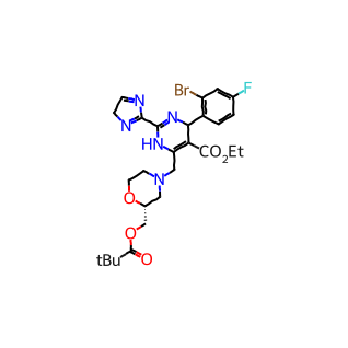 CCOC(=O)C1=C(CN2CCO[C@@H](COC(=O)C(C)(C)C)C2)NC(C2=NCC=N2)=NC1c1ccc(F)cc1Br